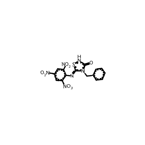 O=c1[nH]sc(=Nc2c([N+](=O)[O-])cc([N+](=O)[O-])cc2[N+](=O)[O-])n1Cc1ccccc1